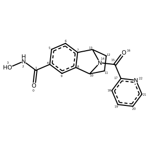 O=C(NO)c1ccc2c(c1)C1CCC2N1C(=O)c1ccccn1